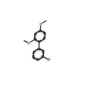 COc1c[c]c(-c2cccc(Br)c2)c(OC)c1